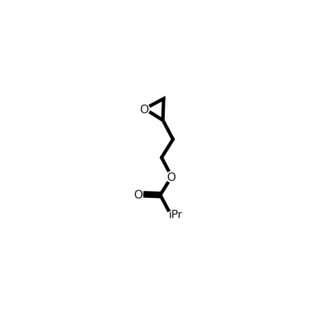 CC(C)C(=O)OCCC1CO1